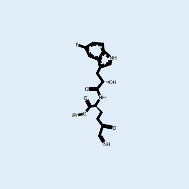 CC(C)OC(=O)[C@H](CCC(=O)C=N)NC(=O)[C@@H](O)Cc1c[nH]c2ccc(F)cc12